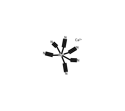 N#[C][Ru-2]([C]#N)([C]#N)([C]#N)([C]#N)[C]#N.[Ca+2]